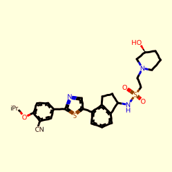 CC(C)Oc1ccc(-c2ncc(-c3cccc4c3CCC4NS(=O)(=O)CCN3CCC[C@H](O)C3)s2)cc1C#N